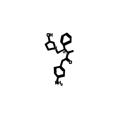 CN(C(=O)Cc1ccc(N)cc1)[C@@H](CN1CCC(O)C1)c1ccccc1